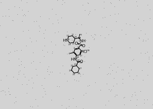 Cc1cc(S(=O)(=O)N[C@H](C)C2CCNCC2)ccc1NC(=O)C1CCCCC1.Cl